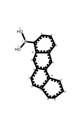 OB(O)c1cccc2cc3c(ccc4ccccc43)cc12